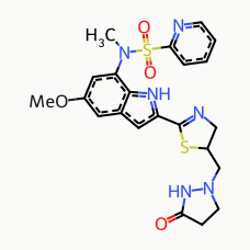 COc1cc(N(C)S(=O)(=O)c2ccccn2)c2[nH]c(C3=NCC(CN4CCC(=O)N4)S3)cc2c1